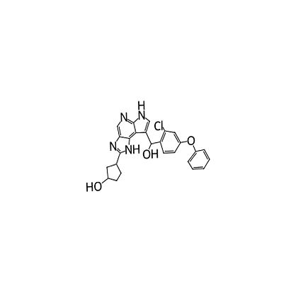 OC1CCC(c2nc3cnc4[nH]cc(C(O)c5ccc(Oc6ccccc6)cc5Cl)c4c3[nH]2)C1